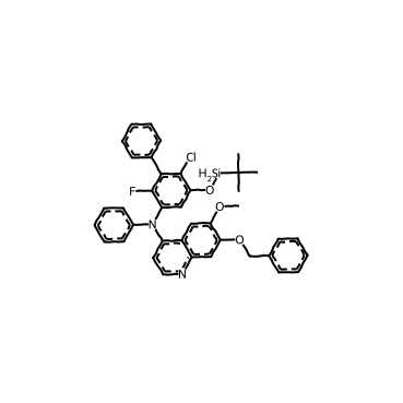 COc1cc2c(N(c3ccccc3)c3cc(O[SiH2]C(C)(C)C)c(Cl)c(-c4ccccc4)c3F)ccnc2cc1OCc1ccccc1